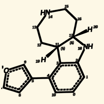 c1cc2c(c(-c3ccoc3)c1)[C@@H]1CCNCC[C@@H]1N2